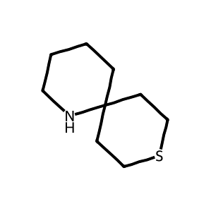 C1CCC2(CCSCC2)NC1